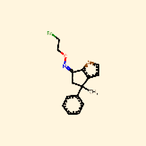 CC1(c2ccccc2)CC(=NOCCBr)c2sccc21